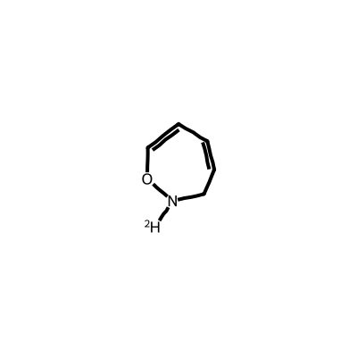 [2H]N1CC=CC=CO1